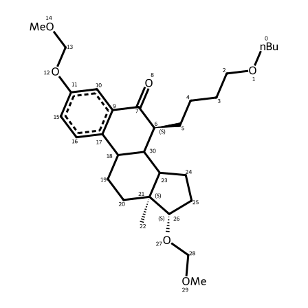 CCCCOCCCC[C@@H]1C(=O)c2cc(OCOC)ccc2C2CC[C@@]3(C)C(CC[C@@H]3OCOC)C21